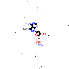 CSc1nn([C@H]2C[C@H](O)[C@H](COS(N)(=O)=O)O2)c2ncnc(N)c12